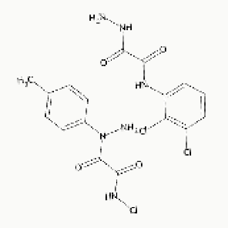 Cc1ccc(N(N)C(=O)C(=O)NCl)cc1.NNC(=O)C(=O)Nc1cccc(Cl)c1Cl